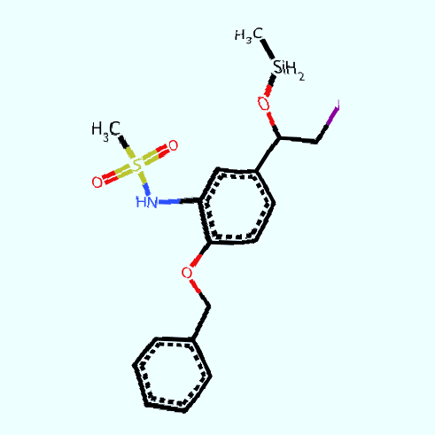 C[SiH2]OC(CI)c1ccc(OCc2ccccc2)c(NS(C)(=O)=O)c1